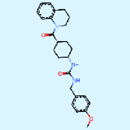 COc1ccc(CNC(=O)N[C@H]2CC[C@H](C(=O)N3CCCc4ccccc43)CC2)cc1